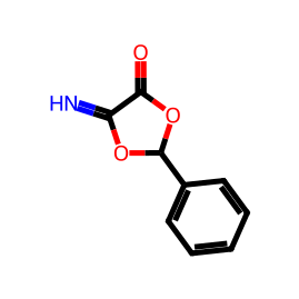 N=C1OC(c2ccccc2)OC1=O